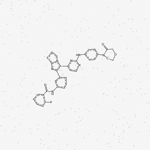 O=C(Nc1cccc(-c2nc3sccn3c2-c2ccnc(Nc3ccc(N4CCOCC4=O)cc3)n2)c1)c1ccccc1F